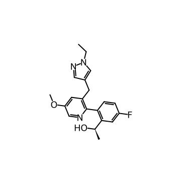 CCn1cc(Cc2cc(OC)cnc2-c2ccc(F)cc2[C@@H](C)O)cn1